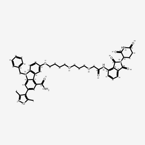 Cc1noc(C)c1-c1cc(C(N)=O)c2c3cc(OCCCCOCCCOCC(=O)Nc4cccc5c4C(=O)N(C4CCC(=O)NC4=O)C5=O)ccc3n(Cc3ccccc3)c2c1